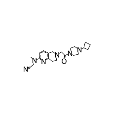 CN(CC#N)c1ccc2c(n1)CCN(CC(=O)N1CCN(C3CCC3)CC1)C2